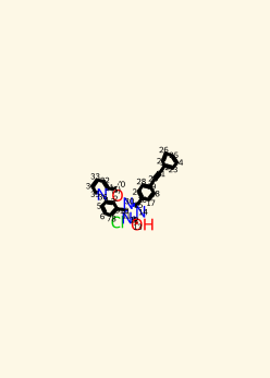 C[C@H](Oc1cccc(Cl)c1-c1nc(O)nc(-c2ccc(C#Cc3ccccc3)cc2)n1)c1ccccn1